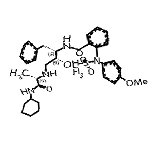 COc1ccc(N(c2ccccc2C(=O)N[C@@H](Cc2ccccc2)[C@H](O)CN[C@@H](C)C(=O)NC2CCCCC2)S(C)(=O)=O)cc1